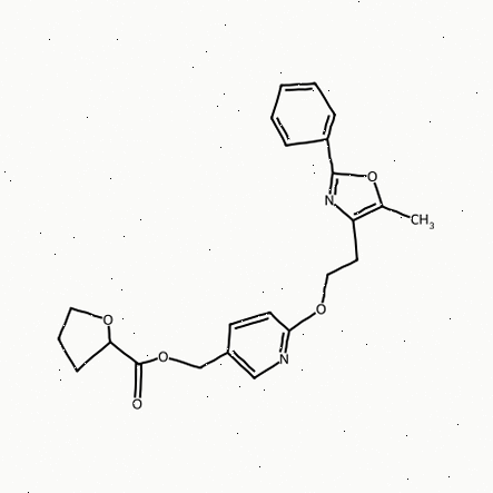 Cc1oc(-c2ccccc2)nc1CCOc1ccc(COC(=O)C2CCCO2)cn1